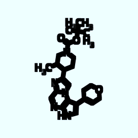 CC1CN(C(=O)OC(C)(C)C)CCC1c1cn2c(cnc3[nH]cc(C4=CCOCC4)c32)n1